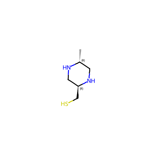 C[C@@H]1CN[C@@H](CS)CN1